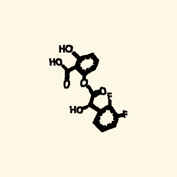 O=C(O)c1c(O)cccc1OC(=O)[C@H](O)c1cccc(F)c1F